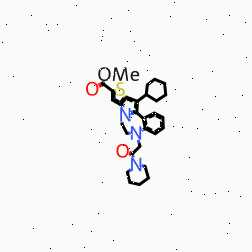 COC(=O)c1cc2c(s1)c(C1CCCCC1)c1n2CCN(CC(=O)N2CCCCC2)c2ccccc2-1